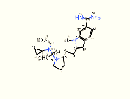 CCn1c(CC[C@@H]2CCCN2C(C)(C=O)N(CC(=O)O)C2CC2)cc2ccc(C(=N)N)cc21